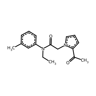 CCN(C(=O)Cn1cccc1C(C)=O)c1cccc(C)c1